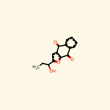 CCC(O)c1cc2c(o1)C(=O)c1ccccc1C2=O